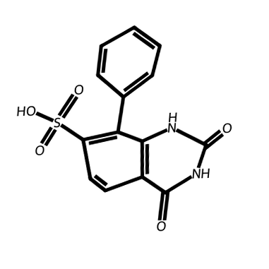 O=c1[nH]c(=O)c2ccc(S(=O)(=O)O)c(-c3ccccc3)c2[nH]1